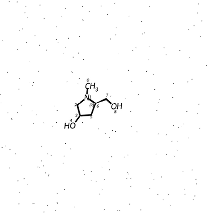 CN1CC(O)C[C@@H]1CO